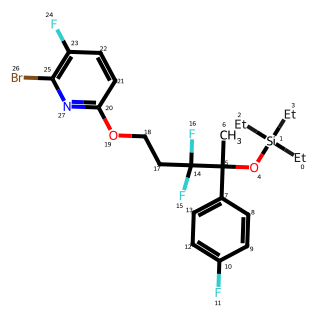 CC[Si](CC)(CC)OC(C)(c1ccc(F)cc1)C(F)(F)CCOc1ccc(F)c(Br)n1